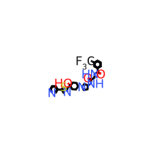 O=C(CNC(=O)c1cccc(C(F)(F)F)c1)NC1CCN(C2CCC(O)(c3ncc(-c4cccnc4)s3)CC2)C1